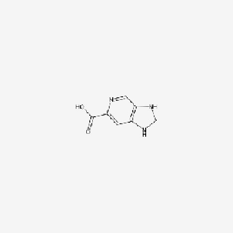 O=C(O)c1cc2c(cn1)NCN2